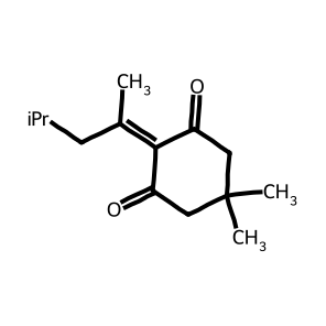 CC(CC(C)C)=C1C(=O)CC(C)(C)CC1=O